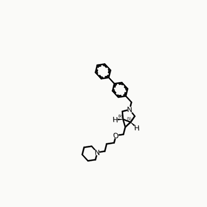 c1ccc(-c2ccc(CN3C[C@@H]4C(COCCCN5CCCCC5)[C@@H]4C3)cc2)cc1